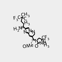 COC[C@H](c1cnn2cc([C@@H](N)CCC(C)(C)C(F)(F)F)nc2c1)N1CC(C)(C(F)(F)F)NC1=O